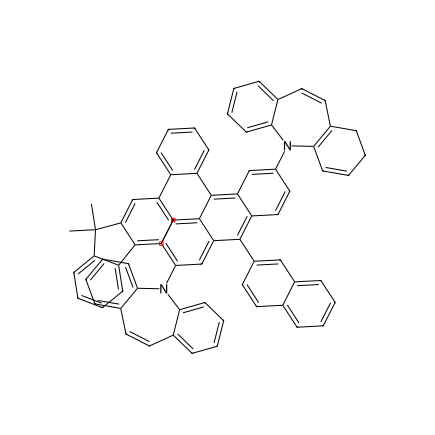 CC1(C)c2ccccc2-c2ccc(-c3ccccc3-c3c4ccc(N5c6ccccc6C=Cc6ccccc65)cc4c(-c4ccc5ccccc5c4)c4ccc(N5C6=C(C=Cc7ccccc75)CCC=C6)cc34)cc21